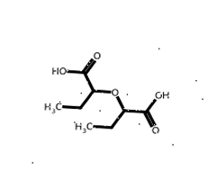 CCC(OC(CC)C(=O)O)C(=O)O